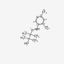 CC(C)(O)C(C)(C)OBc1ccc(C(F)(F)F)cc1C(F)(F)F